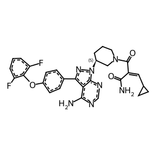 NC(=O)C(=CC1CC1)C(=O)N1CCC[C@H](n2nc(-c3ccc(Oc4c(F)cccc4F)cc3)c3c(N)ncnc32)C1